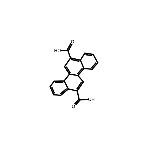 O=C(O)c1cc2c3ccccc3c(C(=O)O)cc2c2ccccc12